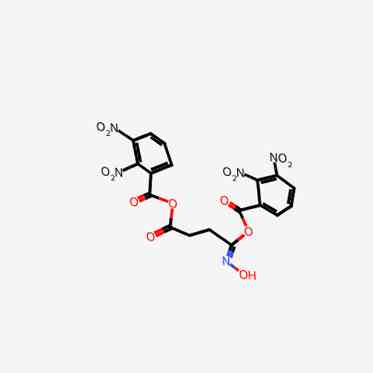 O=C(CC/C(=N/O)OC(=O)c1cccc([N+](=O)[O-])c1[N+](=O)[O-])OC(=O)c1cccc([N+](=O)[O-])c1[N+](=O)[O-]